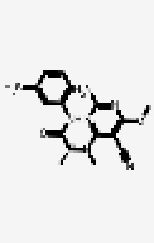 Bc1cccc(NC(=O)[C@H](C)N(C)c2nc(N)nc(OC)c2C#N)c1